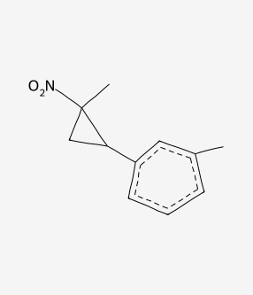 Cc1cccc(C2CC2(C)[N+](=O)[O-])c1